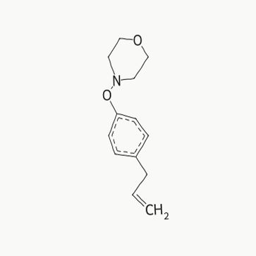 C=CCc1ccc(ON2CCOCC2)cc1